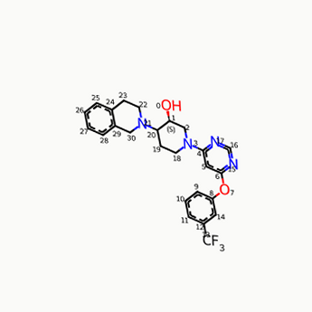 O[C@H]1CN(c2cc(Oc3cccc(C(F)(F)F)c3)ncn2)CCC1N1CCc2ccccc2C1